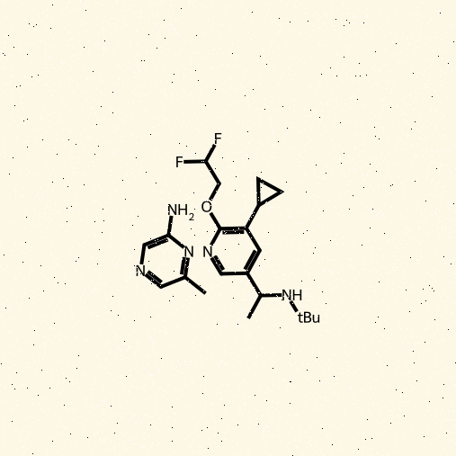 CC(NC(C)(C)C)c1cnc(OCC(F)F)c(C2CC2)c1.Cc1cncc(N)n1